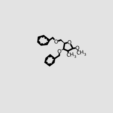 COC1O[C@H](COCc2ccccc2)[C@@H](OCc2ccccc2)C1C